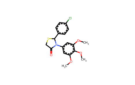 COc1cc(N2C(=O)CSC2c2ccc(Cl)cc2)cc(OC)c1OC